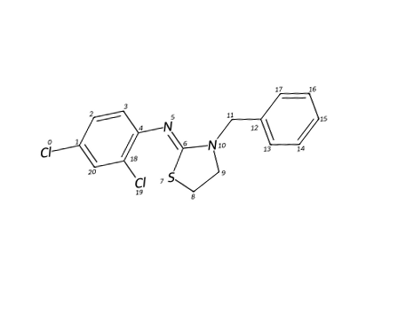 Clc1ccc(/N=C2\SCCN2Cc2ccccc2)c(Cl)c1